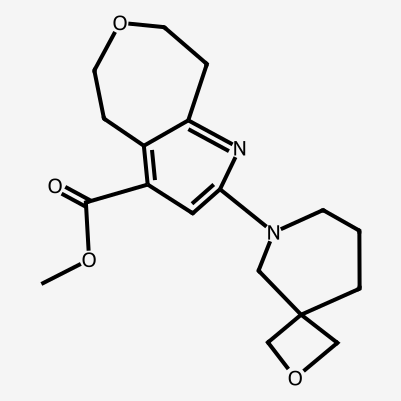 COC(=O)c1cc(N2CCCC3(COC3)C2)nc2c1CCOCC2